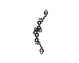 Cc1cc(-c2cccc(CNCCCN3CCOCC3)c2)cc(Cl)c1Nc1c(C#N)cnc2cc(-c3cccc(CNCCCN4CCOCC4)c3)ccc12